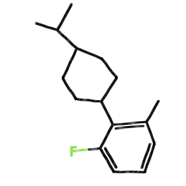 Cc1cccc(F)c1C1CCC(C(C)C)CC1